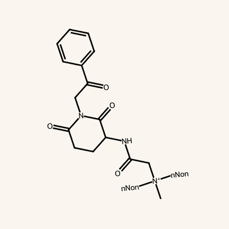 CCCCCCCCC[N+](C)(CCCCCCCCC)CC(=O)NC1CCC(=O)N(CC(=O)c2ccccc2)C1=O